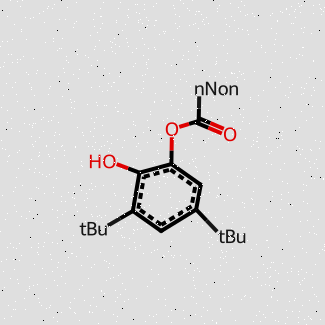 CCCCCCCCCC(=O)Oc1cc(C(C)(C)C)cc(C(C)(C)C)c1O